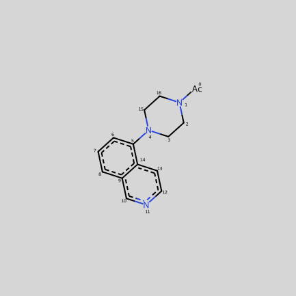 CC(=O)N1CCN(c2cccc3cnccc23)CC1